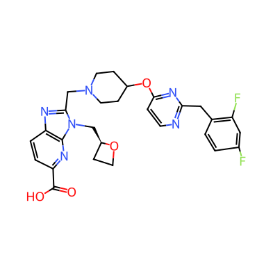 O=C(O)c1ccc2nc(CN3CCC(Oc4ccnc(Cc5ccc(F)cc5F)n4)CC3)n(C[C@@H]3CCO3)c2n1